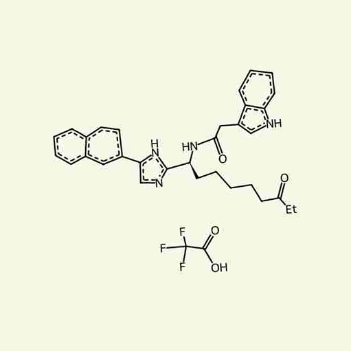 CCC(=O)CCCCC[C@H](NC(=O)Cc1c[nH]c2ccccc12)c1ncc(-c2ccc3ccccc3c2)[nH]1.O=C(O)C(F)(F)F